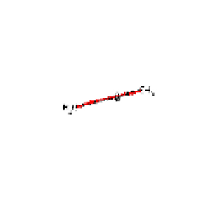 CCCCCCC=CCCCCCCCCCC(=O)OCCCCCCCCCCCCCCCCCCCCCCCCCCCCC